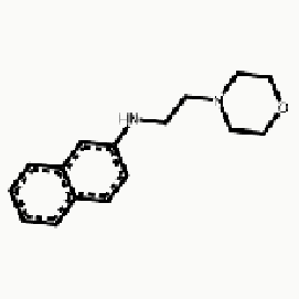 c1ccc2cc(NCCN3CCOCC3)ccc2c1